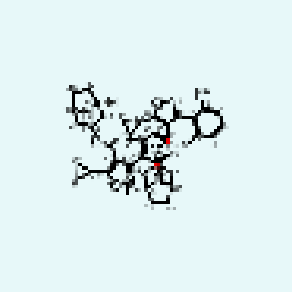 Cc1cccc(F)c1-c1noc(C2CC2)c1COC1CC2CC[C@@H](C1)N2c1cccc(C)c1-c1noc(C2CC2)c1COC1CC2CC[C@@H](C1)N2